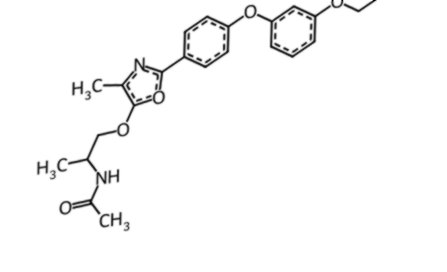 CC(=O)NC(C)COc1oc(-c2ccc(Oc3cccc(OCC4CC4)c3)cc2)nc1C